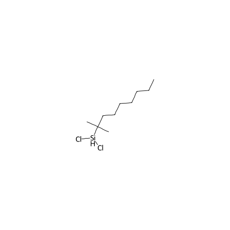 CCCCCCCC(C)(C)[SiH](Cl)Cl